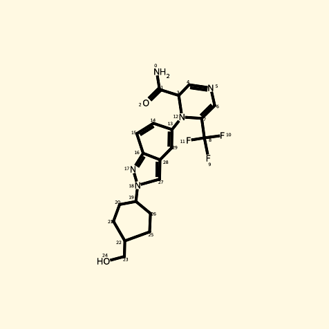 NC(=O)C1C=NC=C(C(F)(F)F)N1c1ccc2nn(C3CCC(CO)CC3)cc2c1